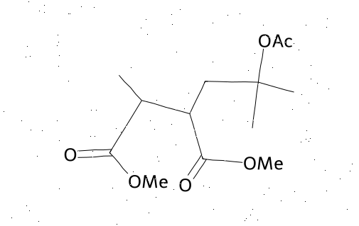 COC(=O)C(C)C(CC(C)(C)OC(C)=O)C(=O)OC